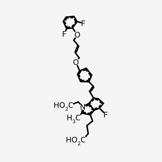 Cc1c(CCCC(=O)O)c2c(F)ccc(C=Cc3ccc(OCC=CCOc4c(F)cccc4F)cc3)c2n1CC(=O)O